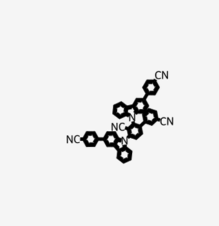 N#Cc1ccc(-c2ccc3c(c2)c2ccccc2n3-c2ccc(-c3cccc(C#N)c3)c(-n3c4ccccc4c4cc(-c5ccc(C#N)cc5)ccc43)c2C#N)cc1